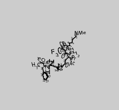 CNCCCCCC(=O)N[C@@H](C(=O)N(C)[C@H](C[C@@H](OC(C)=O)c1nc(C(=O)N[C@@H](Cc2ccccc2)C[C@H](C)C(=O)O)cs1)C(C)C)C(C(F)(F)F)C(F)(F)F